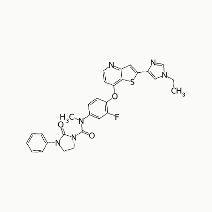 CCn1cnc(-c2cc3nccc(Oc4ccc(N(C)C(=O)N5CCN(c6ccccc6)C5=O)cc4F)c3s2)c1